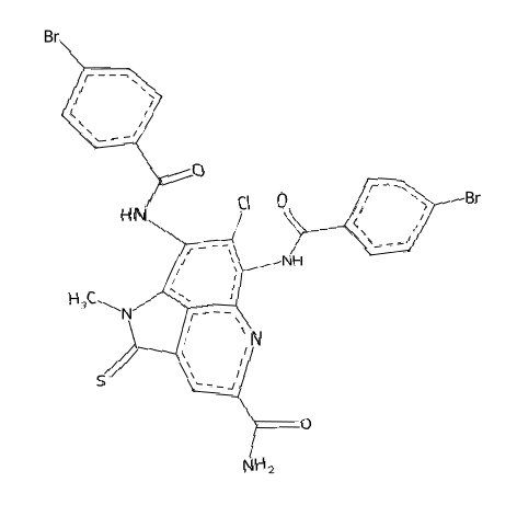 CN1C(=S)c2cc(C(N)=O)nc3c(NC(=O)c4ccc(Br)cc4)c(Cl)c(NC(=O)c4ccc(Br)cc4)c1c23